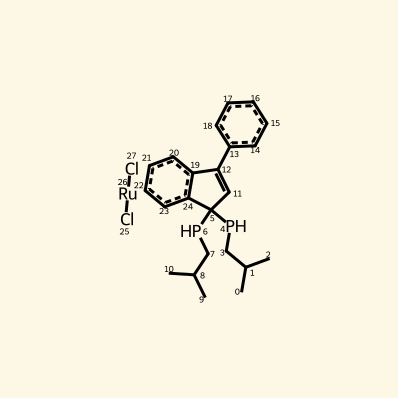 CC(C)CPC1(PCC(C)C)C=C(c2ccccc2)c2ccccc21.[Cl][Ru][Cl]